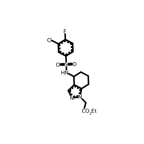 CCOC(=O)Cn1ncc2c1CCCC2NS(=O)(=O)c1ccc(F)c(Cl)c1